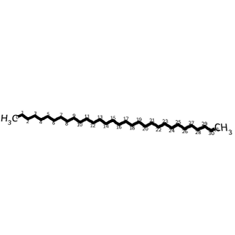 CCCC[CH]CCCCCCCCCCCCCCCCCCCCCCCCCCC